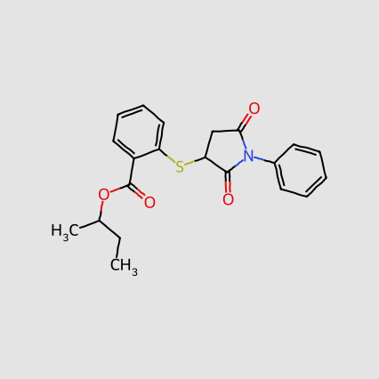 CCC(C)OC(=O)c1ccccc1SC1CC(=O)N(c2ccccc2)C1=O